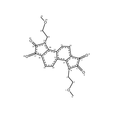 COCCn1c(=O)c(=O)c2ccc3c(ccc4c(=O)c(=O)n(CCOC)c43)c21